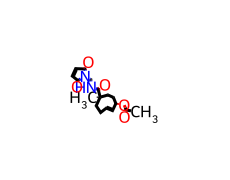 CC(=O)O[C@H]1/C=C/CC[C@@](C)(C(=O)NCN2C(=O)C=CC2=O)CC1